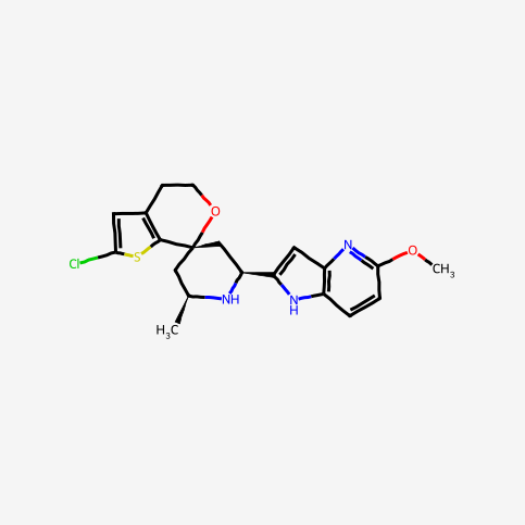 COc1ccc2[nH]c([C@@H]3C[C@]4(C[C@H](C)N3)OCCc3cc(Cl)sc34)cc2n1